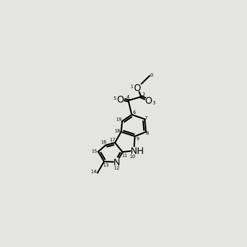 COC(=O)C(=O)c1ccc2[nH]c3nc(C)ccc3c2c1